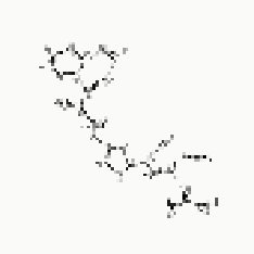 CC(C)CC(NC(=O)C1CC(CNC(=O)c2cccc3ccccc23)=NO1)B(O)O